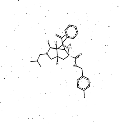 CC(=O)C1N[C@@]2(C(=O)NCc3ccc(C)cc3)C[C@@H]3CN(CC(C)C)[C@@H]([C@H]13)[C@H]2Cc1ccccc1